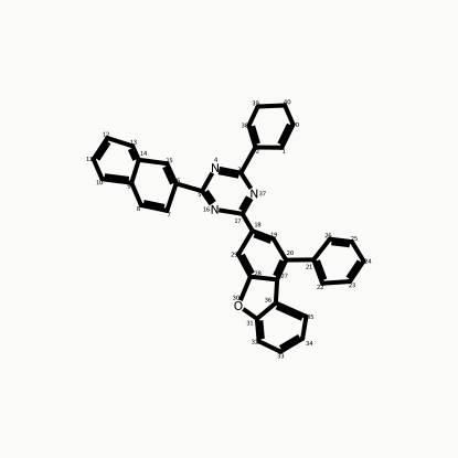 C1=CC(c2nc(-c3ccc4ccccc4c3)nc(-c3cc(-c4ccccc4)c4c(c3)oc3ccccc34)n2)=CCC1